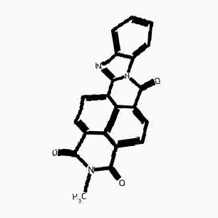 CN1C(=O)c2ccc3c(=O)n4c5ccccc5nc4c4ccc(c2c34)C1=O